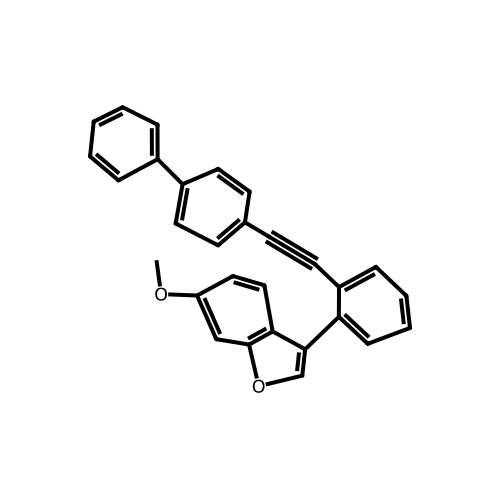 COc1ccc2c(-c3ccccc3C#Cc3ccc(-c4ccccc4)cc3)coc2c1